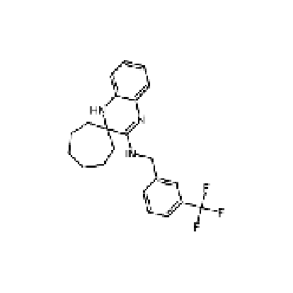 FC(F)(F)c1cccc(CNC2=Nc3ccccc3NC23CCCCCC3)c1